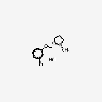 CN1CCC[C@H]1COc1cccc(Cl)c1.Cl